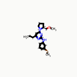 CCCc1cc(N2CCC[C@H]2COC)nc(Nc2cccc(SC)c2)n1